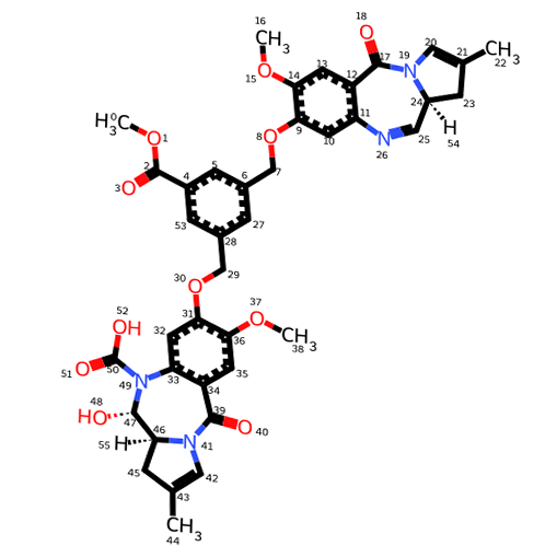 COC(=O)c1cc(COc2cc3c(cc2OC)C(=O)N2C=C(C)C[C@H]2C=N3)cc(COc2cc3c(cc2OC)C(=O)N2C=C(C)C[C@H]2[C@H](O)N3C(=O)O)c1